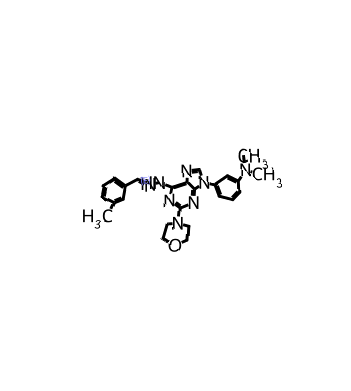 Cc1cccc(/C=N/Nc2nc(N3CCOCC3)nc3c2ncn3-c2cccc(N(C)C)c2)c1